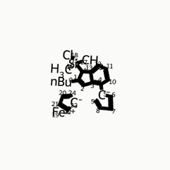 CCCCC1=Cc2c(-[c-]3cccc3)cccc2C1[Si](C)(C)Cl.[Fe+2].c1cc[cH-]c1